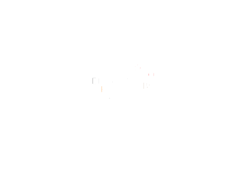 C1COCO1.CC[P+](c1ccccc1)(c1ccccc1)c1ccccc1.[Br-]